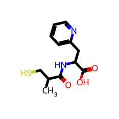 CC(CS)C(=O)NC(Cc1ccccn1)C(=O)O